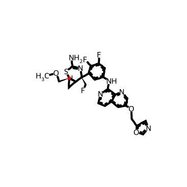 COC[C@]12C[C@H]1[C@@](CF)(c1cc(Nc3nccc4cc(OCc5cnco5)cnc34)cc(F)c1F)N=C(N)S2